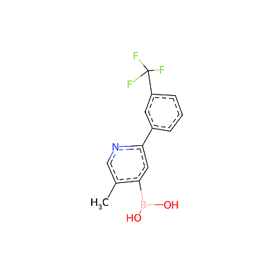 Cc1cnc(-c2cccc(C(F)(F)F)c2)cc1B(O)O